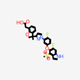 CC1(c2ccn(-c3cc(Oc4c(F)cc5[nH]ccc5c4S(C)(=O)=O)ccc3F)n2)COc2c(CC(=O)O)cccc21